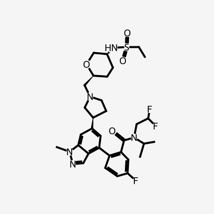 CCS(=O)(=O)N[C@@H]1CC[C@@H](CN2CC[C@@H](c3cc(-c4ccc(F)cc4C(=O)N(CC(F)F)C(C)C)c4cnn(C)c4c3)C2)OC1